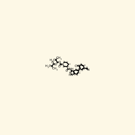 CC(C)C(=O)OC(OC(=O)N1CCC[C@@H](C(=O)Nc2n[nH]c3ccc(-c4cc(C#N)ccc4Cl)cc23)C1)C(C)C